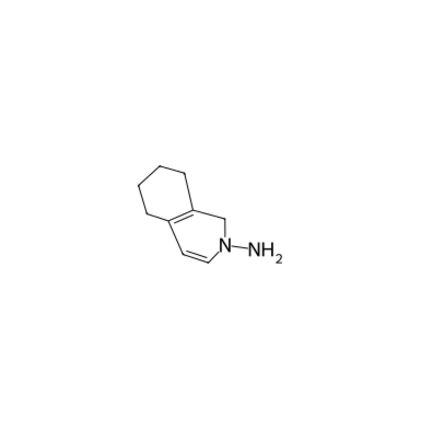 NN1C=CC2=C(CCCC2)C1